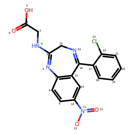 O=C(O)CNC1=Nc2ccc([N+](=O)[O-])cc2C(c2ccccc2Cl)=NC1